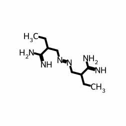 CCC(CN=NCC(CC)C(=N)N)C(=N)N